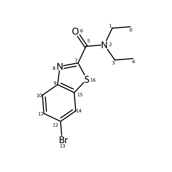 CCN(CC)C(=O)c1nc2ccc(Br)cc2s1